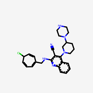 N#Cc1c(NCC2=CC=CC(Cl)C=C2)nc2ccccc2c1N1CCCC(N2CCNCC2)C1